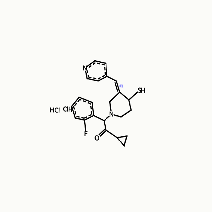 Cl.Cl.O=C(C1CC1)C(c1ccccc1F)N1CCC(S)/C(=C/c2ccncc2)C1